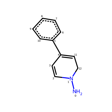 NN1C=CC(c2ccccc2)=CC1